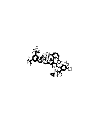 Cc1cc(Cl)cc(C(=O)NC2CC2)c1NC(=O)c1cc(CN(Cc2cc(C(F)(F)F)cc(C(F)(F)F)c2)S(C)(=O)=O)nn1-c1ncccc1Cl